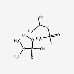 CC(OP(C)(=O)F)C(C)(C)C.CCOP(=O)(C#N)N(C)C